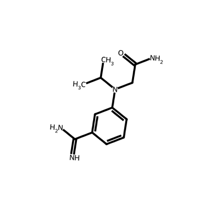 CC(C)N(CC(N)=O)c1cccc(C(=N)N)c1